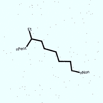 [CH2]CCCCCCCCCCCCCCC(CC)CCCC[CH2]